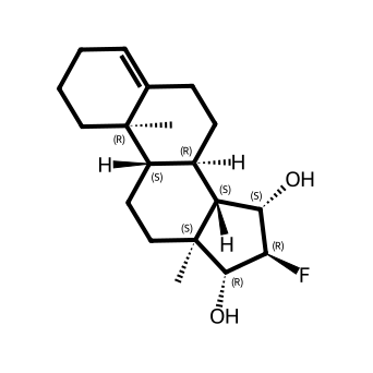 C[C@]12CC[C@H]3[C@@H](CCC4=CCCC[C@@]43C)[C@@H]1[C@H](O)[C@@H](F)[C@@H]2O